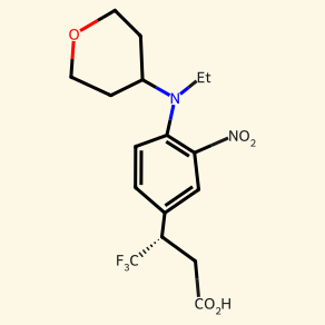 CCN(c1ccc([C@H](CC(=O)O)C(F)(F)F)cc1[N+](=O)[O-])C1CCOCC1